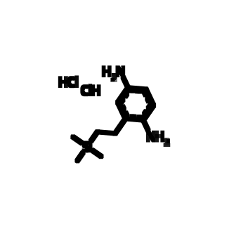 C[Si](C)(C)CCc1cc(N)ccc1N.Cl.Cl